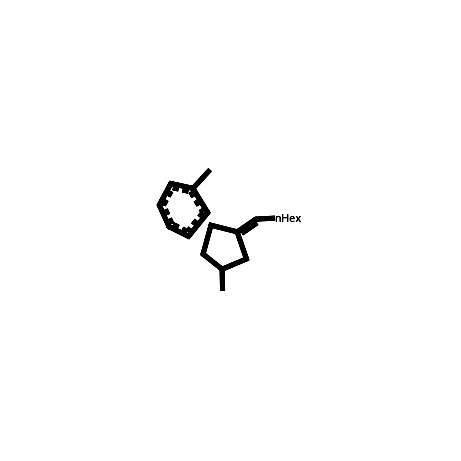 CCCCCCC=C1CCC(C)C1.Cc1ccccc1